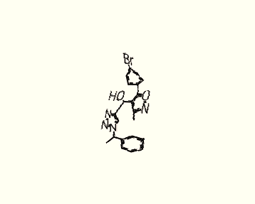 Cc1noc(-c2ccc(Br)cc2)c1C(O)c1cn(C(C)c2ccccc2)nn1